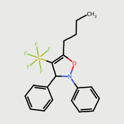 CCCCC1=C(S(F)(F)(F)(F)F)C(c2ccccc2)N(c2ccccc2)O1